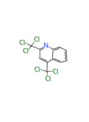 ClC(Cl)(Cl)c1cc(C(Cl)(Cl)Cl)c2ccccc2n1